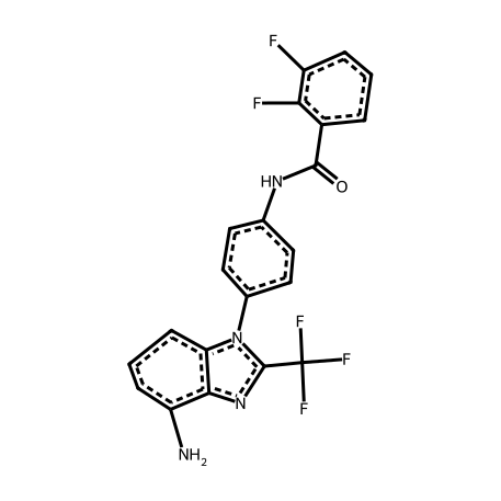 Nc1cccc2c1nc(C(F)(F)F)n2-c1ccc(NC(=O)c2cccc(F)c2F)cc1